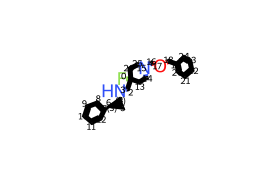 FC1(CN[C@@H]2C[C@H]2c2ccccc2)CCN(COCc2ccccc2)CC1